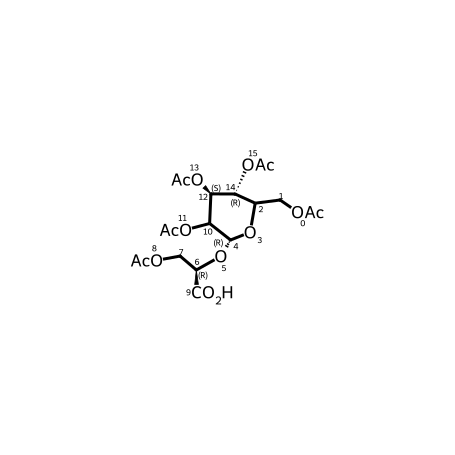 CC(=O)OCC1O[C@H](O[C@H](COC(C)=O)C(=O)O)C(OC(C)=O)[C@@H](OC(C)=O)[C@@H]1OC(C)=O